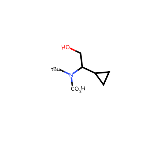 CC(C)(C)N(C(=O)O)C(CO)C1CC1